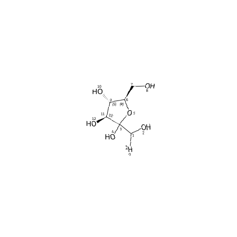 [2H]C(O)C1(O)O[C@H](CO)[C@@H](O)[C@@H]1O